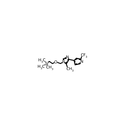 Cc1c(-c2ccnc(C(F)(F)F)c2)ncn1COCC[Si](C)(C)C